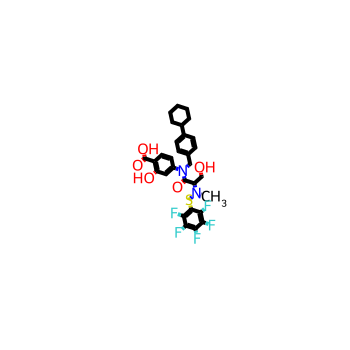 CN(Sc1c(F)c(F)c(F)c(F)c1F)C(CO)C(=O)N(Cc1ccc(C2CCCCC2)cc1)c1ccc(C(=O)O)c(O)c1